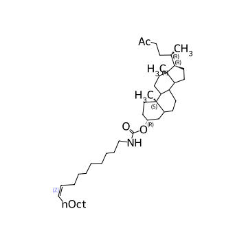 CCCCCCCC/C=C\CCCCCCCCNC(=O)O[C@@H]1CC[C@@]2(C)C(CCC3C2CC[C@@]2(C)C3CC[C@@H]2[C@H](C)CCC(C)=O)C1